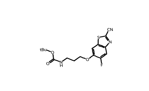 CC(C)(C)OC(=O)NCCCOc1cc2sc(C#N)nc2cc1F